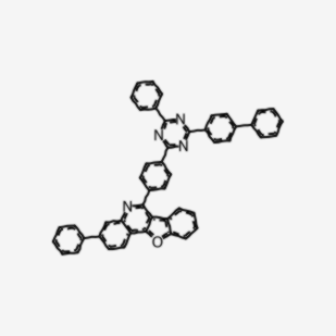 c1ccc(-c2ccc(-c3nc(-c4ccccc4)nc(-c4ccc(-c5nc6cc(-c7ccccc7)ccc6c6oc7ccccc7c56)cc4)n3)cc2)cc1